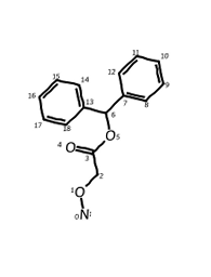 [N]OCC(=O)OC(c1ccccc1)c1ccccc1